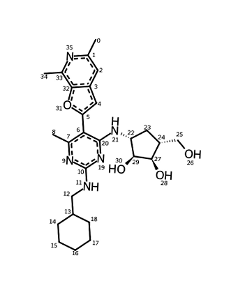 Cc1cc2cc(-c3c(C)nc(NCC4CCCCC4)nc3N[C@@H]3C[C@H](CO)[C@@H](O)[C@H]3O)oc2c(C)n1